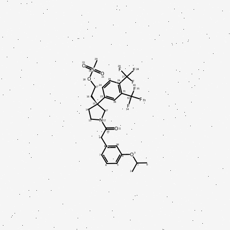 CC(C)Oc1cccc(CC(=O)N2CC[C@](CCOS(C)(=O)=O)(c3ccc(C(F)(F)F)c(C(F)(F)F)c3)C2)c1